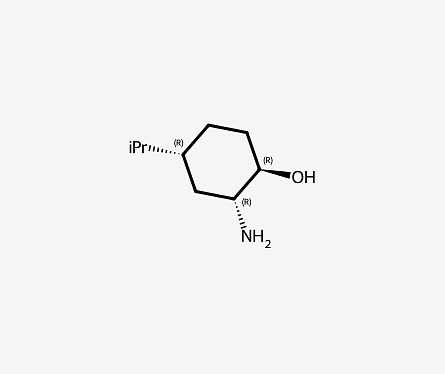 CC(C)[C@@H]1CC[C@@H](O)[C@H](N)C1